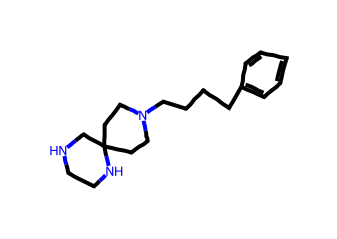 c1ccc(CCCCN2CCC3(CC2)CNCCN3)cc1